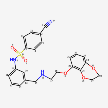 N#Cc1ccc(S(=O)(=O)Nc2cccc(CNCCOc3cccc4c3OCCO4)c2)cc1